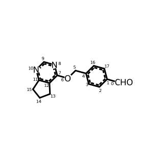 O=Cc1ccc(COc2ncnc3c2CCC3)cc1